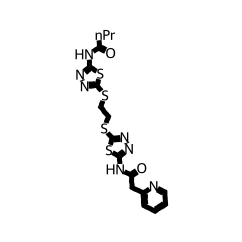 CCCC(=O)Nc1nnc(SCCSc2nnc(NC(=O)Cc3ccccn3)s2)s1